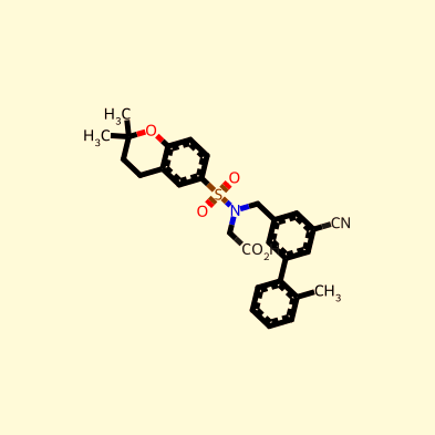 Cc1ccccc1-c1cc(C#N)cc(CN(CC(=O)O)S(=O)(=O)c2ccc3c(c2)CCC(C)(C)O3)c1